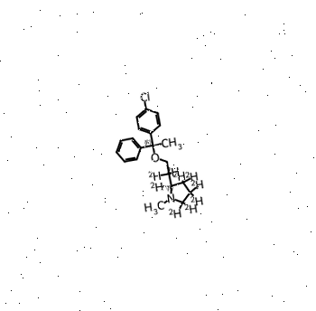 [2H]C1([2H])N(C)[C@@]([2H])(C([2H])([2H])CO[C@](C)(c2ccccc2)c2ccc(Cl)cc2)C([2H])([2H])C1([2H])[2H]